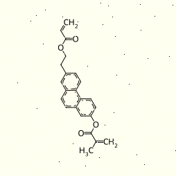 C=CC(=O)OCCc1ccc2c(ccc3cc(OC(=O)C(=C)C)ccc32)c1